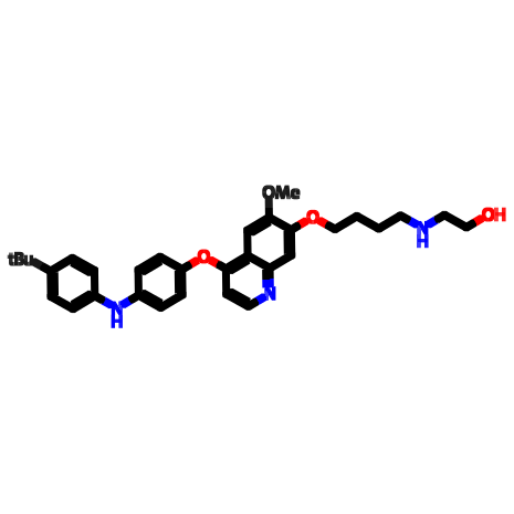 COc1cc2c(Oc3ccc(Nc4ccc(C(C)(C)C)cc4)cc3)ccnc2cc1OCCCCNCCO